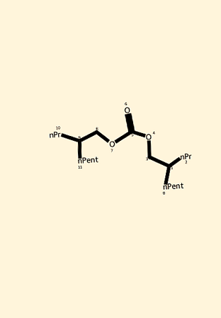 CCCCCC(CCC)COC(=O)OCC(CCC)CCCCC